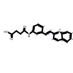 O=C(O)CCC(=O)Nc1cccc(/C=C/c2ccc3ccccc3n2)c1